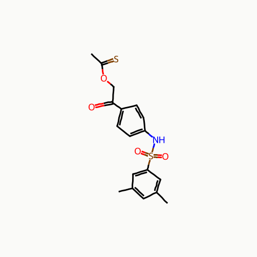 CC(=S)OCC(=O)c1ccc(NS(=O)(=O)c2cc(C)cc(C)c2)cc1